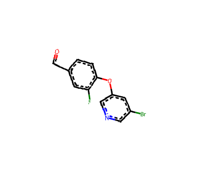 O=Cc1ccc(Oc2cncc(Br)c2)c(F)c1